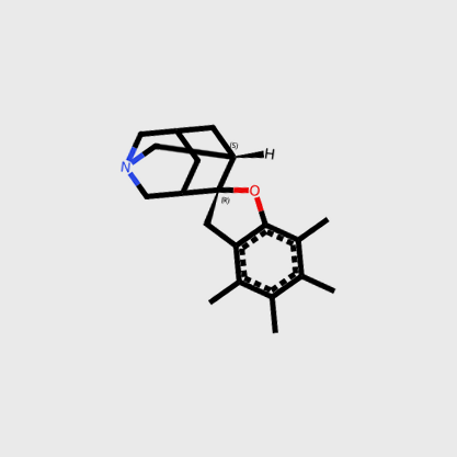 Cc1c(C)c(C)c2c(c1C)C[C@@]1(O2)C2CC3C[C@H]1CN(C3)C2